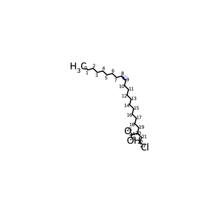 CCCCCCCC/C=C\CCCCCCCCCCC(CCCl)C(=O)O